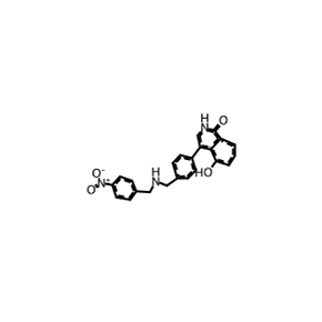 O=c1[nH]cc(-c2ccc(CNCc3ccc([N+](=O)[O-])cc3)cc2)c2c(O)cccc12